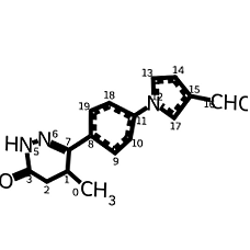 CC1CC(=O)NN=C1c1ccc(-n2ccc(C=O)c2)cc1